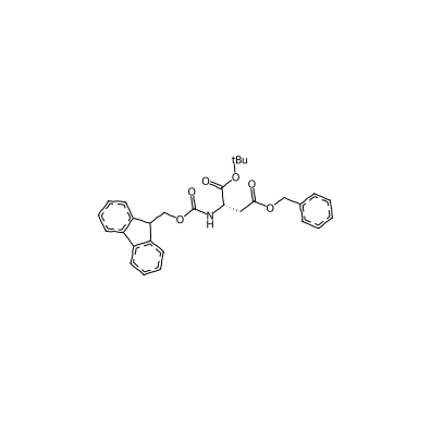 CC(C)(C)OC(=O)[C@H](CC(=O)OCc1ccccc1)NC(=O)OCC1c2ccccc2-c2ccccc21